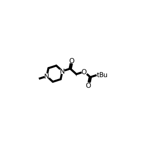 CN1CCN(C(=O)[CH]OC(=O)C(C)(C)C)CC1